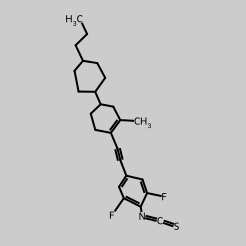 CCCC1CCC(C2CCC(C#Cc3cc(F)c(N=C=S)c(F)c3)=C(C)C2)CC1